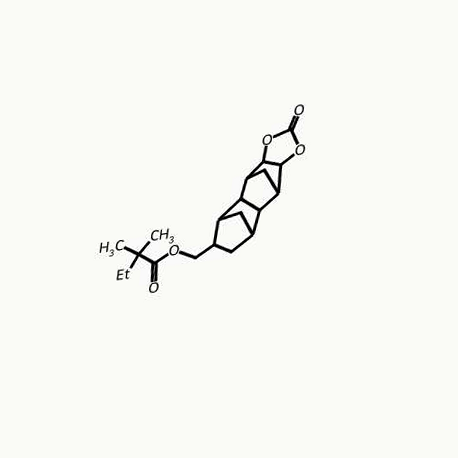 CCC(C)(C)C(=O)OCC1CC2CC1C1C3CC(C4OC(=O)OC34)C21